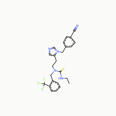 CCNC(=S)N(CCc1cncn1Cc1ccc(C#N)cc1)Cc1ccccc1C(F)(F)F